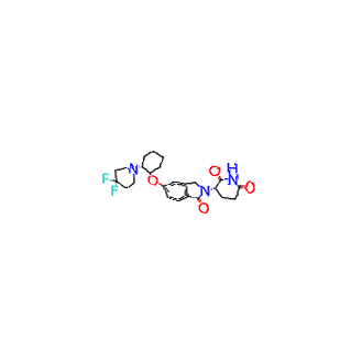 O=C1CC[C@H](N2Cc3cc(O[C@@H]4CCCC[C@H]4N4CCC(F)(F)CC4)ccc3C2=O)C(=O)N1